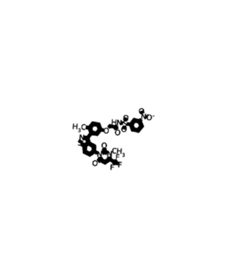 Cc1ccc(OCC(=O)NS(=O)(=O)c2cccc([N+](=O)[O-])c2)cc1-c1nsc2ccc(-n3c(=O)cc(C(F)(F)F)n(C)c3=O)cc12